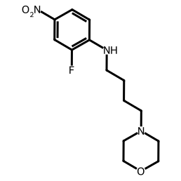 O=[N+]([O-])c1ccc(NCCCCN2CCOCC2)c(F)c1